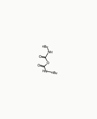 CCCCNC(=O)OC(=O)NCCCC